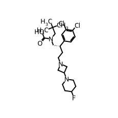 CC(C)(C)CN(C[C@@H](CCN1CC(N2CCC(F)CC2)C1)c1ccc(Cl)c(Cl)c1)C(=O)O